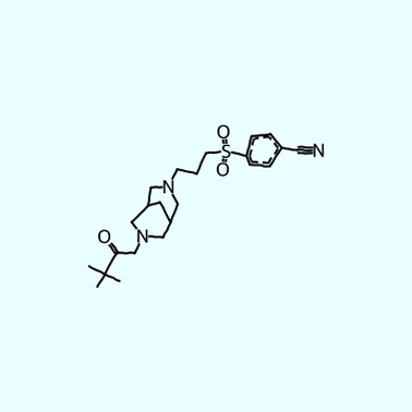 CC(C)(C)C(=O)CN1CC2CC(CN(CCCS(=O)(=O)c3ccc(C#N)cc3)C2)C1